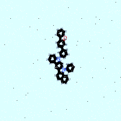 c1ccc(-n2c3cc4c(cc3c3ccc5ccccc5c32)c2ccccc2n4-c2cccc(-c3ccc4c(c3)oc3ccccc34)c2)cc1